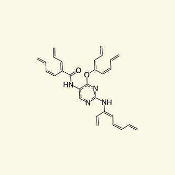 C=C/C=C\C=C(/C=C)Nc1ncc(NC(=O)C(/C=C\C=C)=C/C=C)c(OC(/C=C\C=C)=C/C=C)n1